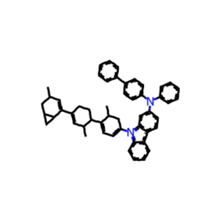 CC1C=C(C2=CC(C)C(C3=CC=C(n4c5ccccc5c5ccc(N(c6ccccc6)c6ccc(-c7ccccc7)cc6)cc54)CC3C)CC2)C2CC2C1